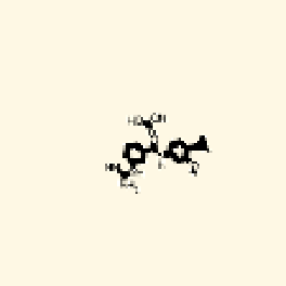 COc1cc(NC(=O)c2cccc(NC(=N)N)c2)ccc1C1CC1.O=C(O)O